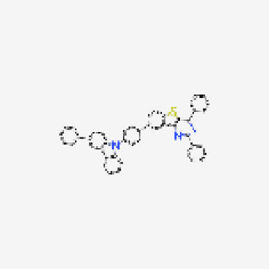 c1ccc(-c2ccc3c(c2)c2ccccc2n3-c2ccc(-c3ccc4sc5c(-c6ccccc6)nc(-c6ccccc6)nc5c4c3)cc2)cc1